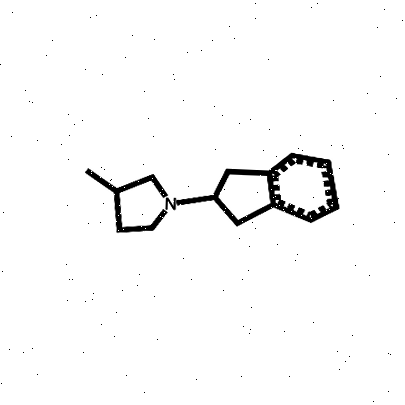 CC1CCN(C2Cc3ccccc3C2)C1